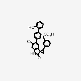 O=C(O)Cc1cccc(C2CC23C(=O)Nc2cc(Cl)c(-c4ccc(-c5ccccc5O)cc4)cc23)c1